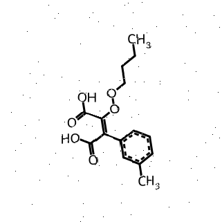 CCCCOOC(C(=O)O)=C(C(=O)O)c1cccc(C)c1